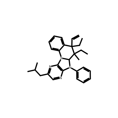 C=CC1(CC)c2ccccc2N2c3nc(CC(C)C)cnc3N(c3ccccc3)C2C1(C)CC